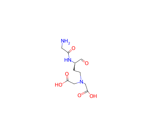 NCC(=O)N[C@@H](C=O)CCN(CC(=O)O)CC(=O)O